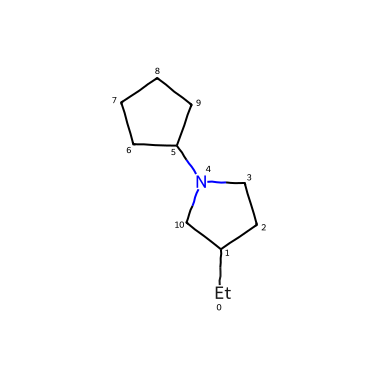 CCC1CCN(C2CCCC2)C1